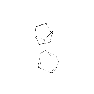 c1cncc(C2C3CCN2CC3)c1